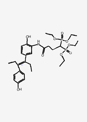 CCOP(=O)(OCC)C(CCC(=O)Nc1cc(/C(CC)=C(\CC)c2ccc(O)cc2)ccc1O)P(=O)(OCC)OCC